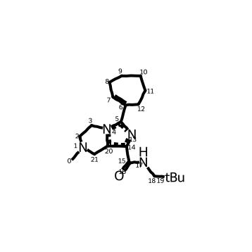 CN1CCn2c(C3=CCCCCC3)nc(C(=O)NCC(C)(C)C)c2C1